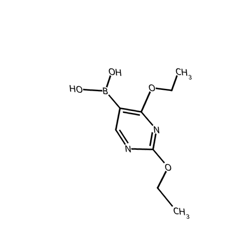 CCOc1ncc(B(O)O)c(OCC)n1